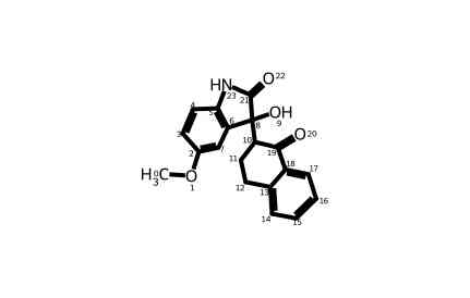 COc1ccc2c(c1)C(O)(C1CCc3ccccc3C1=O)C(=O)N2